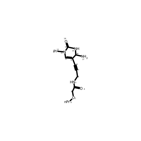 CCCOCC(=O)NCC#CC1=CN(C(C)C)C(=O)NC1N